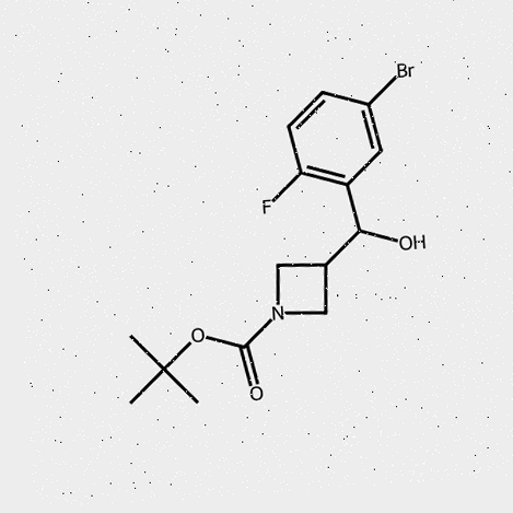 CC(C)(C)OC(=O)N1CC(C(O)c2cc(Br)ccc2F)C1